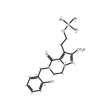 CC(C)[Si](OCCc1c(C(=O)O)nn2c1C(=O)N(Cc1ccccc1Cl)CC2)(C(C)C)C(C)C